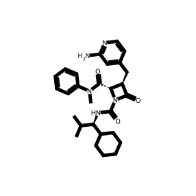 CC(C)[C@@H](NC(=O)N1C(=O)[C@H](Cc2ccnc(N)c2)[C@H]1C(=O)N(C)c1ccccc1)C1CCCCC1